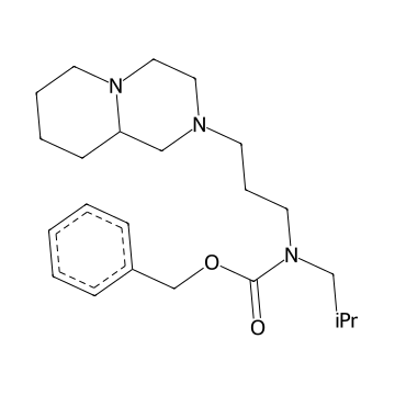 CC(C)CN(CCCN1CCN2CCCCC2C1)C(=O)OCc1ccccc1